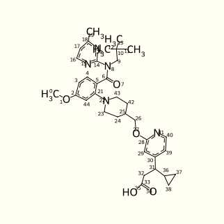 COc1ccc(C(=O)N(CC(C)(C)C)c2nccc(C)n2)c(N2CCC(COc3cc(C(CC(=O)O)C4CC4)ccn3)CC2)c1